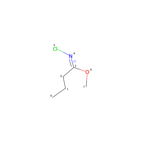 CCC/C(=N\Cl)OC